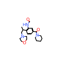 CC(CN1CCOCC1)c1ccc(C(=O)N2CCCCC2)cc1NC=O